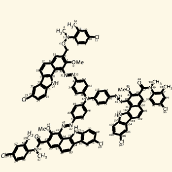 COc1c(CON(C)c2ccc(Cl)cc2C)cc2ccc3c4cc(Cl)ccc4[nH]c3c2c1N=Nc1ccc(N(c2ccc(N=Nc3c(OC)c(C(=O)N(C)c4ccc(Cl)cc4C)cc4ccc5c6cc(Cl)ccc6[nH]c5c34)cc2)c2ccc(N=Nc3c(OC)c(C(=O)N(C)c4ccc(Cl)cc4C)cc4ccc5c6cc(Cl)ccc6[nH]c5c34)cc2)cc1